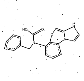 O=C(O)N(Cc1ccccc1)c1cccc2c1OC=C1NC=CN12